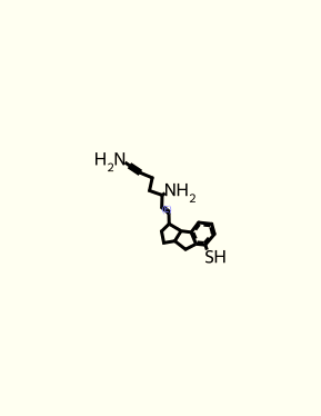 NC#CCCC(N)/C=C/C1CCC2Cc3c(S)cccc3C12